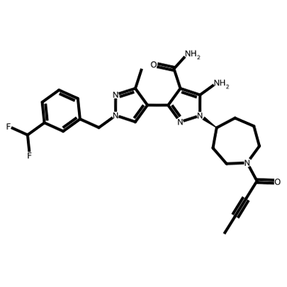 CC#CC(=O)N1CCC[C@H](n2nc(-c3cn(Cc4cccc(C(F)F)c4)nc3C)c(C(N)=O)c2N)CC1